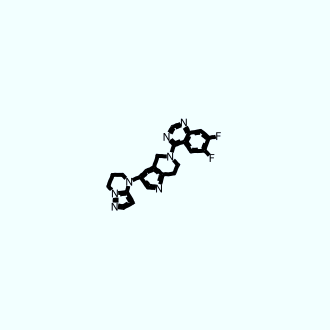 Fc1cc2ncnc(N3CCc4ncc(N5CCCn6nccc65)cc4C3)c2cc1F